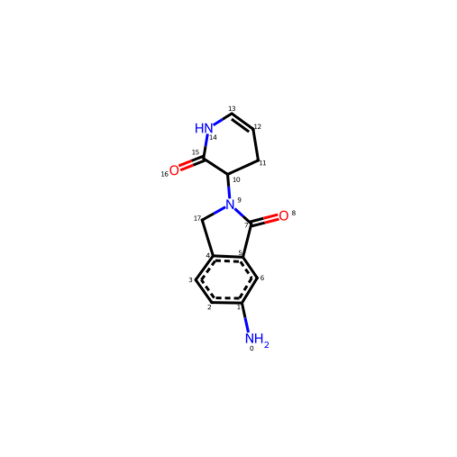 Nc1ccc2c(c1)C(=O)N(C1CC=CNC1=O)C2